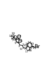 C[C@H](CCC1=C[C@](C)(O[Si](C)(C)C)C(=O)O1)[C@H]1CCC2C(=CBr)CCC[C@@]21C